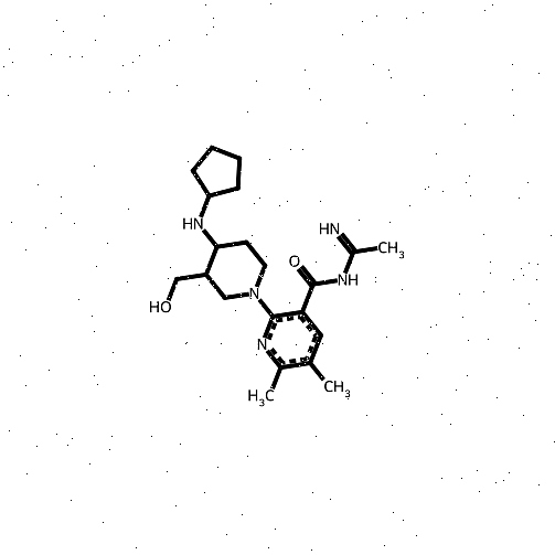 CC(=N)NC(=O)c1cc(C)c(C)nc1N1CCC(NC2CCCC2)C(CO)C1